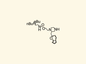 CCCCN(CCCC)CCNC(=O)OCCN1CCNCC1Cc1ccc2cccc-2o1